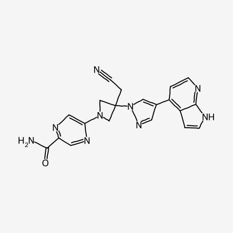 N#CCC1(n2cc(-c3ccnc4[nH]ccc34)cn2)CN(c2cnc(C(N)=O)cn2)C1